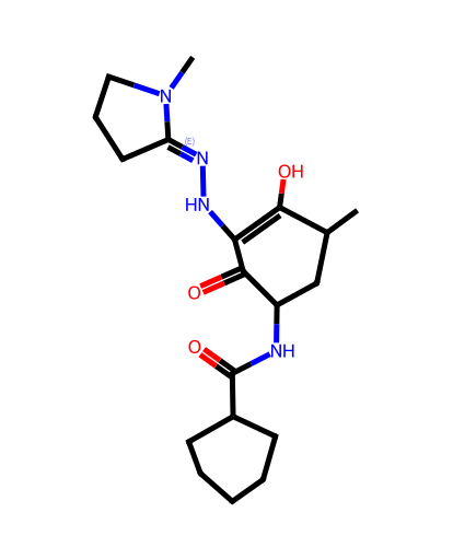 CC1CC(NC(=O)C2CCCCC2)C(=O)C(N/N=C2\CCCN2C)=C1O